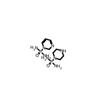 NP(N)(=O)N1C=CC=NC1.NP(N)(=O)N1CCNCC1